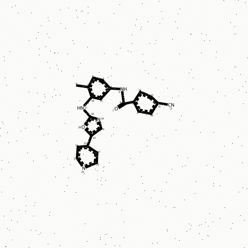 Cc1ccc(NC(=O)c2ccc(C#N)cc2)cc1Nc1ncc(-c2ccncc2)o1